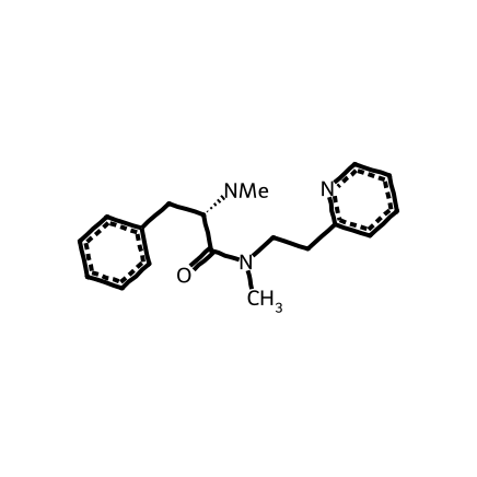 CN[C@@H](Cc1ccccc1)C(=O)N(C)CCc1ccccn1